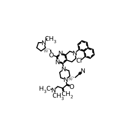 C=C(CN(C)C)C(=O)N1CCN(c2nc(OC[C@@H]3CCCN3C)nc3c2CCN(c2cccc4cccc(Cl)c24)C3)C[C@@H]1CC#N